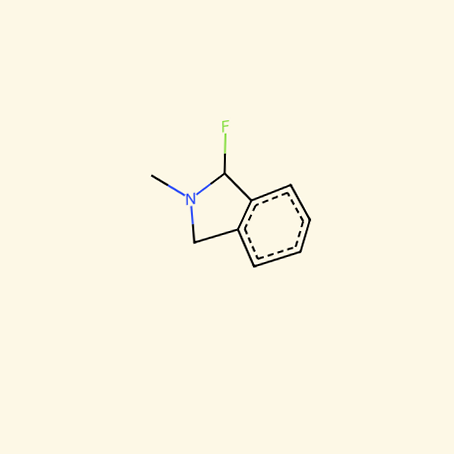 CN1Cc2ccccc2C1F